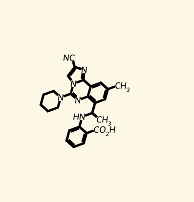 Cc1cc(C(C)Nc2ccccc2C(=O)O)c2nc(N3CCCCC3)n3cc(C#N)nc3c2c1